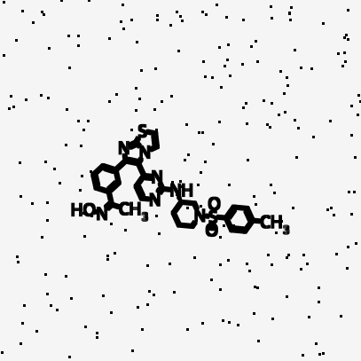 C/C(=N/O)c1cccc(-c2nc3sccn3c2-c2ccnc(N[C@@H]3CCCN(S(=O)(=O)c4ccc(C)cc4)C3)n2)c1